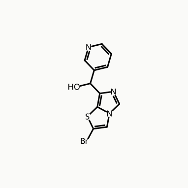 OC(c1cccnc1)c1ncn2cc(Br)sc12